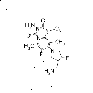 Cc1c(N2CC(F)C(CN)C2)c(F)c(C)n2c(=O)n(N)c(=O)c(C3CC3)c12